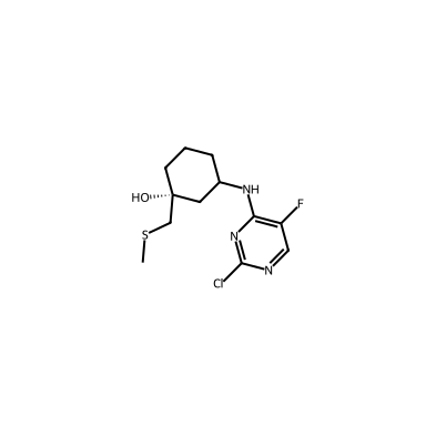 CSC[C@@]1(O)CCCC(Nc2nc(Cl)ncc2F)C1